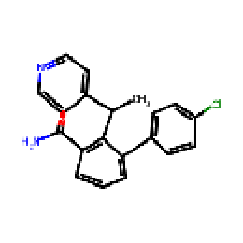 CC(c1ccncc1)c1c(C(N)=O)cccc1-c1ccc(Cl)cc1